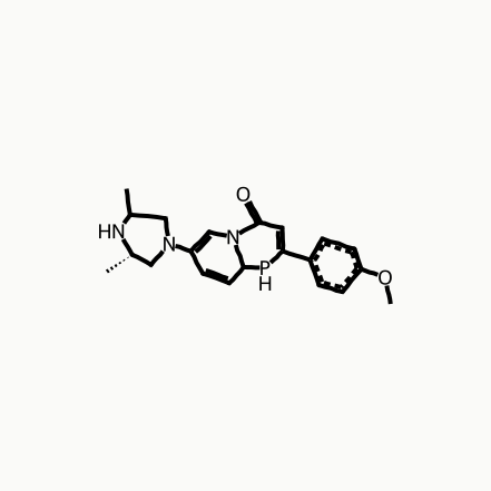 COc1ccc(C2=CC(=O)N3C=C(N4CC(C)N[C@@H](C)C4)C=CC3P2)cc1